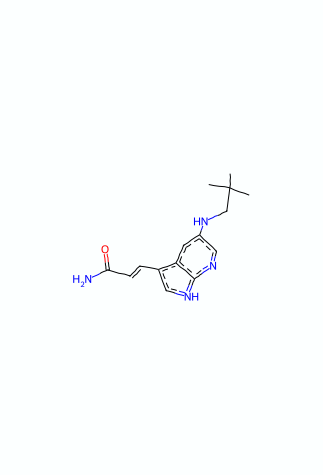 CC(C)(C)CNc1cnc2[nH]cc(C=CC(N)=O)c2c1